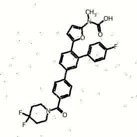 CN(C(=O)O)c1ccc(-c2ccc(-c3ccc(C(=O)N4CCC(F)(F)CC4)cc3)cc2-c2ccc(F)cc2)o1